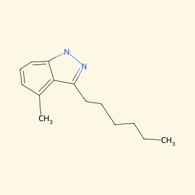 CCCCCCC1=N[N]c2cccc(C)c21